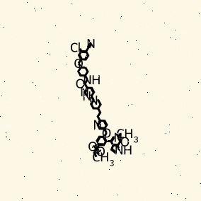 CCS(=O)(=O)c1ccc(Oc2ccc(CCC3CCN(c4ccc(C(=O)NC5CCC(Oc6ccc(C#N)c(Cl)c6)CC5)nn4)CC3)nc2)c(-c2cn(C)c(=O)c3[nH]ccc23)c1